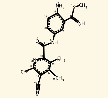 CSC(=N)c1cc(NC(=O)c2nc(Cl)c(C#N)c(C)c2C)ccc1N